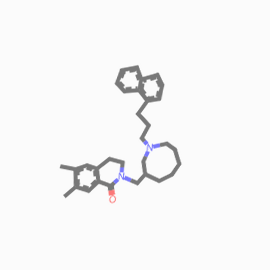 Cc1cc2c(cc1C)C(=O)N(CC1CCCCCN(CCCc3cccc4ccccc34)C1)CC2